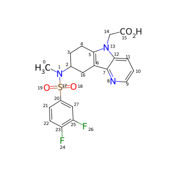 CN(C1CCc2c(c3ncccc3n2CC(=O)O)C1)S(=O)(=O)c1ccc(F)c(F)c1